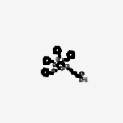 O=C(O)CCCCCO[C@H]1O[C@H](COCc2ccccc2)[C@@H](OCc2ccccc2)[C@H](OCc2ccccc2)[C@H]1OCc1ccccc1